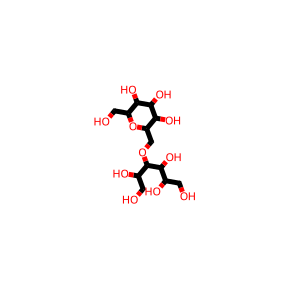 OCC(O)C(O)C(OCC1OC(CO)C(O)C(O)C1O)C(O)CO